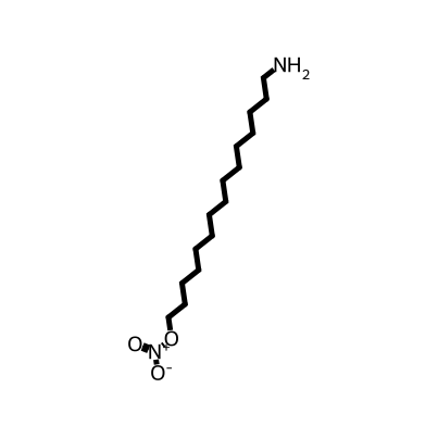 NCCCCCCCCCCCCCCCO[N+](=O)[O-]